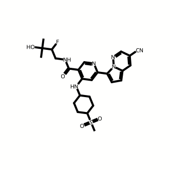 CC(C)(O)C(F)CNC(=O)c1cnc(-c2ccc3cc(C#N)cnn23)cc1NC1CCC(S(C)(=O)=O)CC1